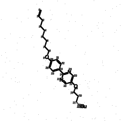 C=CCCCCCCCOc1ccc(-c2ncc(OCCC[C@@H](C)CC)cn2)cc1